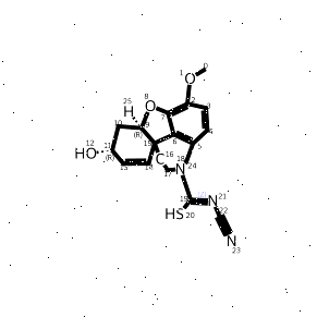 COc1ccc2c3c1O[C@@H]1C[C@@H](O)C=CC31CCN(/C(S)=N/C#N)C2